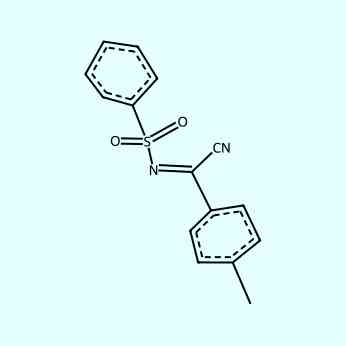 Cc1ccc(C(C#N)=NS(=O)(=O)c2ccccc2)cc1